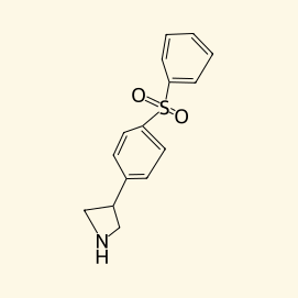 O=S(=O)(c1ccccc1)c1ccc(C2CNC2)cc1